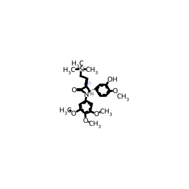 COc1ccc([C@H]2/C(=C/C[Si](C)(C)C)C(=O)N2c2cc(OC)c(OC)c(OC)c2)cc1O